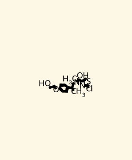 CC(CNC(C)(O)c1csc(Cl)n1)c1ccc(OCCO)cc1